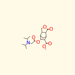 COC(=O)C1C2CC(C3COC(=O)C32)C1OC(=O)CN(C(C)C)C(C)C